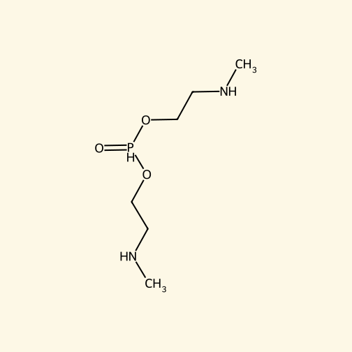 CNCCO[PH](=O)OCCNC